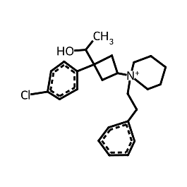 CC(O)C1(c2ccc(Cl)cc2)CC([N+]2(CCc3ccccc3)CCCCC2)C1